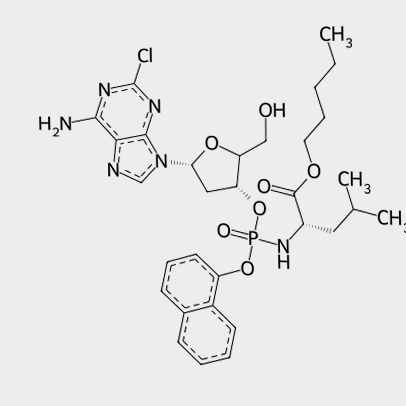 CCCCCOC(=O)[C@H](CC(C)C)NP(=O)(Oc1cccc2ccccc12)O[C@@H]1C[C@H](n2cnc3c(N)nc(Cl)nc32)OC1CO